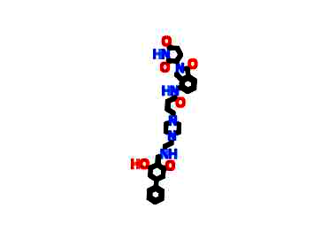 O=C(/C=C\CN1CCN(CCN/C=C2\C(=O)CC(c3ccccc3)CC2O)CC1)Nc1cccc2c1CN(C1CCC(=O)NC1=O)C2=O